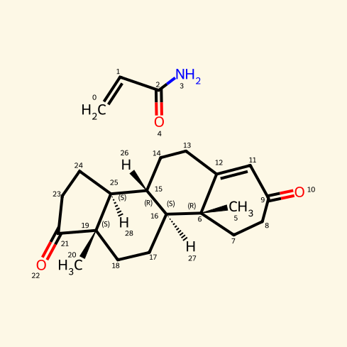 C=CC(N)=O.C[C@]12CCC(=O)C=C1CC[C@@H]1[C@@H]2CC[C@]2(C)C(=O)CC[C@@H]12